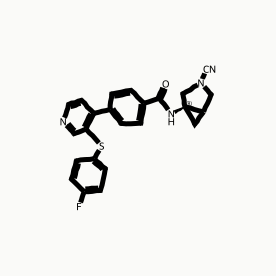 N#CN1CC2C[C@]2(NC(=O)c2ccc(-c3ccncc3Sc3ccc(F)cc3)cc2)C1